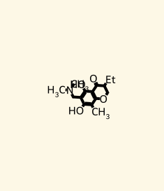 CCC1COc2c(C)c(O)c(CN(C)C)c(O)c2C1=O